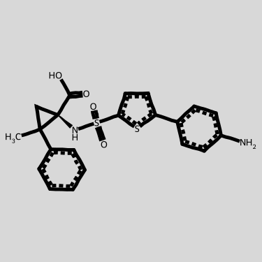 CC1(c2ccccc2)C[C@]1(NS(=O)(=O)c1ccc(-c2ccc(N)cc2)s1)C(=O)O